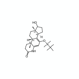 CC(C)(C)[Si](C)(C)OC1=C2[C@@H](CC[C@]3(C)C(O)CC[C@@H]23)[C@@]2(C)CCC(=O)NC2=C1